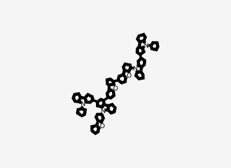 c1ccc(-n2c3ccccc3c3ccc(-c4ccc5c6ccccc6n(-c6cccc7c6oc6ccc(-c8cccc9c8oc8ccc(-c%10cc(-c%11ccc%12c%13ccccc%13n(-c%13ccccc%13)c%12c%11)cc%11c%10c%10ccccc%10n%11-c%10ccc%11c(c%10)oc%10ccccc%10%11)cc89)cc67)c5c4)cc32)cc1